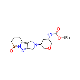 CC(C)(C)OC(=O)NC1COCC(N2Cc3nn4c(c3C2)CCC[S+]4[O-])C1